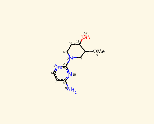 COC1CN(c2nccc(N)n2)CCC1O